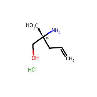 C=CC[C@@](N)(CO)C(=O)O.Cl